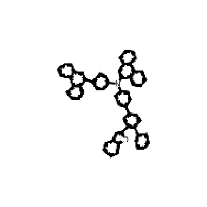 c1ccc(-c2ccc(-c3ccc(N(c4ccc(-c5cc6ccccc6c6ccccc56)cc4)c4cc5ccccc5c5ccccc45)cc3)cc2-c2cc3ccccc3o2)cc1